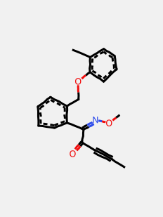 CC#CC(=O)C(=NOC)c1ccccc1COc1ccccc1C